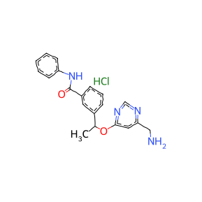 CC(Oc1cc(CN)ncn1)c1cccc(C(=O)Nc2ccccc2)c1.Cl